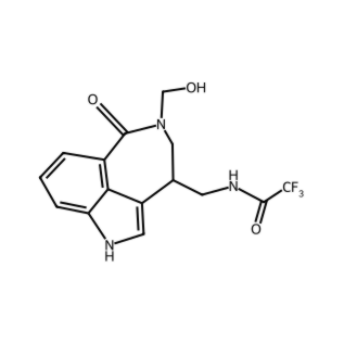 O=C1c2cccc3[nH]cc(c23)C(CNC(=O)C(F)(F)F)CN1CO